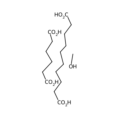 CO.O=C(O)CCCCC(=O)O.O=C(O)CCCCCCCCC(=O)O